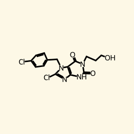 O=c1[nH]c2nc(Cl)n(Cc3ccc(Cl)cc3)c2c(=O)n1CCCO